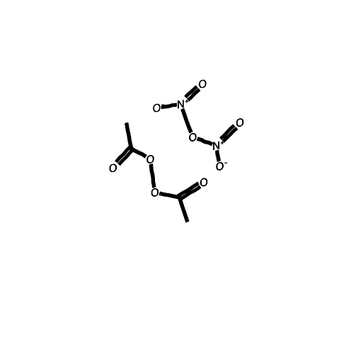 CC(=O)OOC(C)=O.O=[N+]([O-])O[N+](=O)[O-]